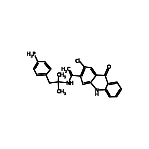 C=C(NC(C)(C)Cc1ccc(P)cc1)c1cc2[nH]c3ccccc3c(=O)c2cc1Cl